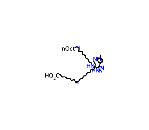 CCCCCCCC/C=C\CCCCCCCCNC(CCN)(CCCCCCCC/C=C\CCCCCCCC(=O)O)c1[nH]nnc1-c1ccc(C)cc1